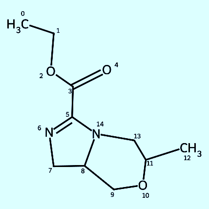 CCOC(=O)C1=NCC2COC(C)CN12